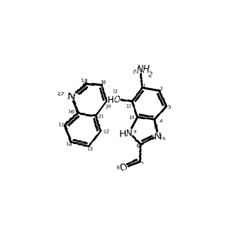 Nc1ccc2nc(C=O)[nH]c2c1O.c1ccc2ncccc2c1